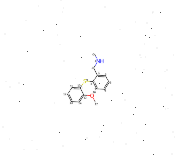 CNCc1ccccc1Sc1ccccc1OC